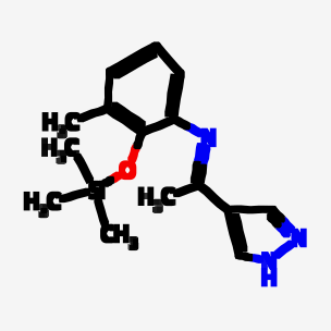 CC(=Nc1cccc(C)c1O[Si](C)(C)C)c1cn[nH]c1